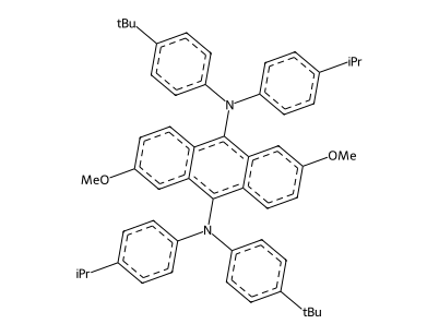 COc1ccc2c(N(c3ccc(C(C)C)cc3)c3ccc(C(C)(C)C)cc3)c3cc(OC)ccc3c(N(c3ccc(C(C)C)cc3)c3ccc(C(C)(C)C)cc3)c2c1